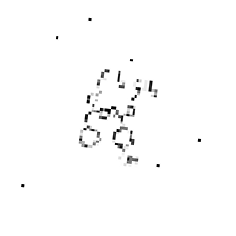 CCCOC(=O)Cc1ccccc1.CCCOC(=O)c1ccc(O)cc1